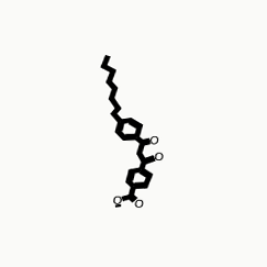 CCCCCCCCc1ccc(C(=O)CC(=O)c2ccc(C(=O)OC)cc2)cc1